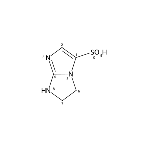 O=S(=O)(O)c1cnc2n1CCN2